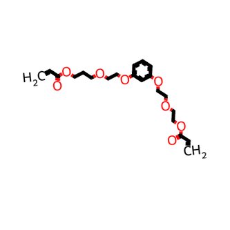 C=CC(=O)OCCCOCCOc1cccc(OCCOCCOC(=O)C=C)c1